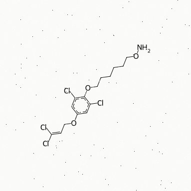 NOCCCCCCOc1c(Cl)cc(OCC=C(Cl)Cl)cc1Cl